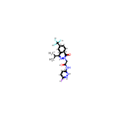 CC(C)c1nn(CC(=O)Nc2ccc(I)nn2)c(=O)c2ccc(C(F)(F)F)cc12